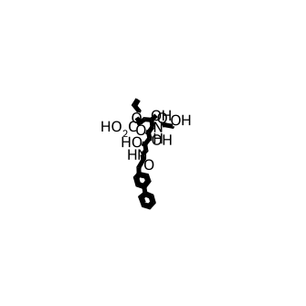 C=CCOC1(C(=O)O)CC(O)C(NC(=O)CO)C(C(O)C(O)CNC(=O)Cc2ccc(-c3ccccc3)cc2)O1